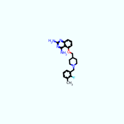 Cc1cccc(CN2CCC(COc3cccc4nc(N)nc(N)c34)CC2)c1F